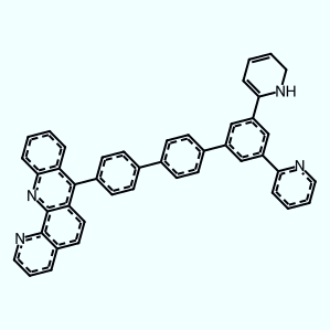 C1=CCNC(c2cc(-c3ccc(-c4ccc(-c5c6ccccc6nc6c5ccc5cccnc56)cc4)cc3)cc(-c3ccccn3)c2)=C1